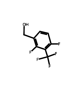 OCc1ccc(F)c(C(F)(F)F)c1F